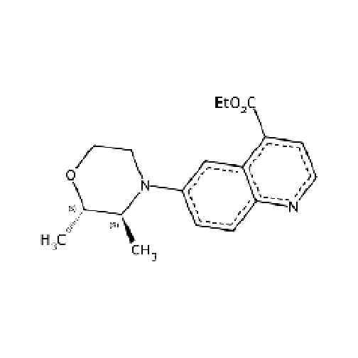 CCOC(=O)c1ccnc2ccc(N3CCO[C@@H](C)[C@@H]3C)cc12